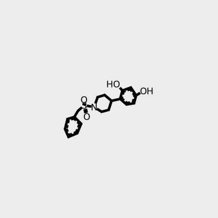 O=S(=O)(Cc1ccccc1)N1CCC(c2ccc(O)cc2O)CC1